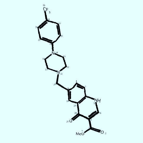 COC(=O)c1c[nH]c2ccc(CN3CCN(c4ccc(C(F)(F)F)cc4)CC3)cc2c1=O